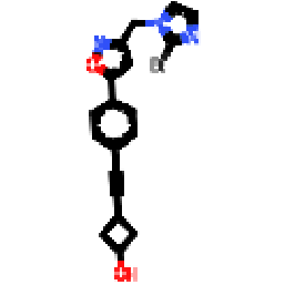 CCc1nccn1Cc1cc(-c2ccc(C#CC3CC(O)C3)cc2)on1